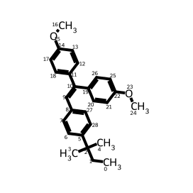 CCC(C)(C)c1ccc(C=C(c2ccc(OC)cc2)c2ccc(OC)cc2)cc1